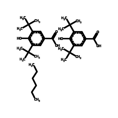 CC(C)(C)c1cc(C(=O)O)cc(C(C)(C)C)c1O.CC(C)(C)c1cc(C(=O)O)cc(C(C)(C)C)c1O.CCCCCC